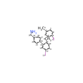 Cc1ccc(I)cc1.Cc1ccc(I)cc1-c1ccc(CN)cc1